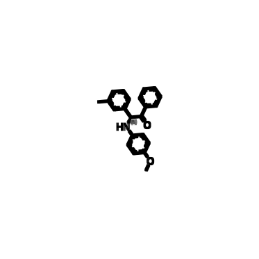 COc1ccc(N[C@H](C(=O)c2ccccc2)c2cccc(C)c2)cc1